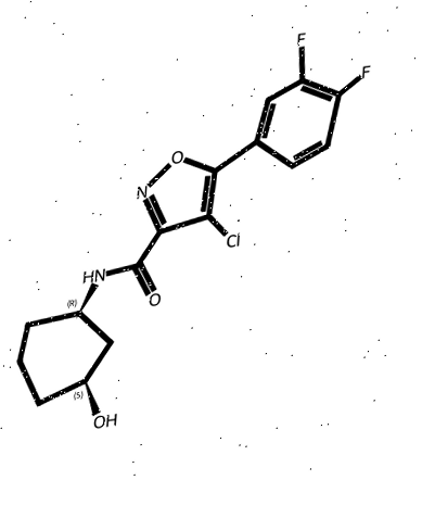 O=C(N[C@@H]1CCC[C@H](O)C1)c1noc(-c2ccc(F)c(F)c2)c1Cl